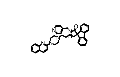 O=C(NCc1ccncc1)C1(CCCCN2CCN(c3ccc4ccccc4n3)CC2)c2ccccc2-c2ccccc21